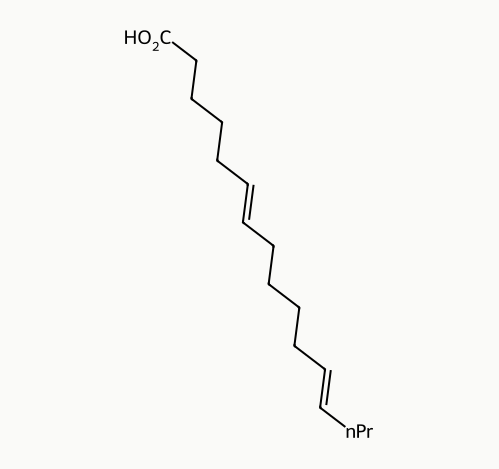 CCCC=CCCCCC=CCCCCC(=O)O